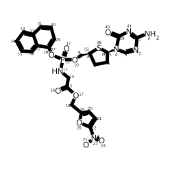 Nc1ncn([C@H]2CC[C@@H](COP(=O)(NCC(=O)OCc3ccc([N+](=O)[O-])o3)Oc3cccc4ccccc34)S2)c(=O)n1